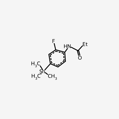 CCC(=O)Nc1cc[c]([Sn]([CH3])([CH3])[CH3])cc1F